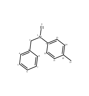 CCN(Cc1ccccc1)c1ccc(C)cc1